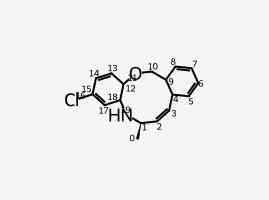 C[C@@H]1/C=C\C2C=CC=CC2COC2C=CC(Cl)=CC2N1